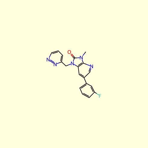 Cn1c(=O)n(Cc2cccnn2)c2cc(-c3cccc(F)c3)cnc21